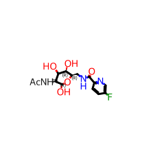 CC(=O)N[C@@H]1C(O)[C@@H](O)[C@@H](CNC(=O)c2ccc(F)cn2)O[C@H]1O